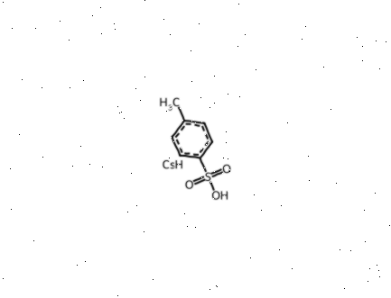 Cc1ccc(S(=O)(=O)O)cc1.[CsH]